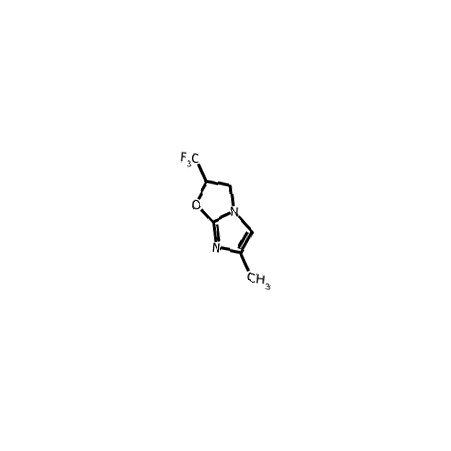 Cc1cn2c(n1)OC(C(F)(F)F)C2